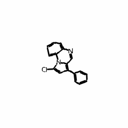 Clc1cc(-c2ccccc2)c2cnc3ccccc3n12